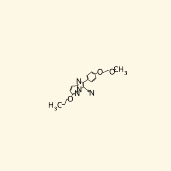 CCCOc1ccc2nc(-c3ccc(OCCOC)cc3)c(C#N)n2n1